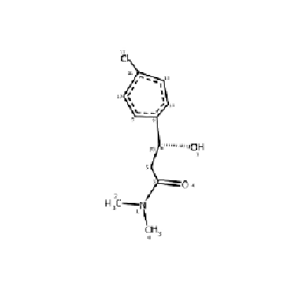 CN(C)C(=O)C[C@@H](O)c1ccc(Cl)cc1